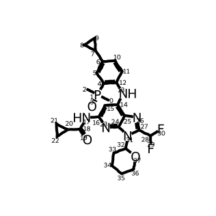 CP(C)(=O)c1cc(C2CC2)ccc1Nc1cc(NC(=O)C2CC2)nc2c1nc(C(F)F)n2C1CCCCO1